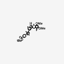 COc1cc(OC)c(F)c(Cc2c[nH]c3ncc(-c4cnn(C5CCN(C(=O)OC(C)(C)C)CC5)c4C)cc23)c1F